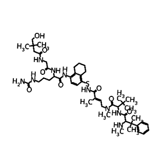 CNC(C(=O)NC(C(=O)N(C)C/C=C(\C)C(=O)NSc1ccc(NC(=O)C(CCCNC(N)=O)NC(=O)CNC(=O)CC(C)(C)CO)c2c1CCCC2)C(C)(C)C)C(C)(C)c1ccccc1